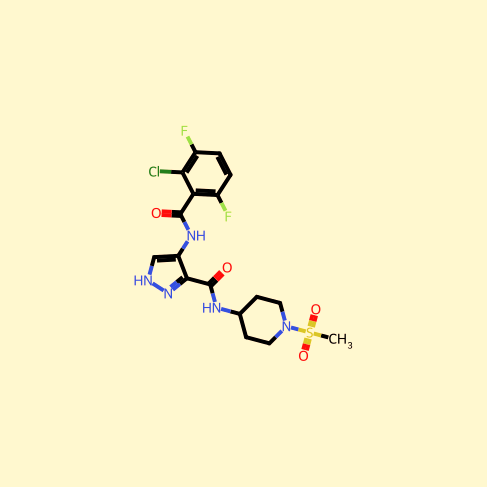 CS(=O)(=O)N1CCC(NC(=O)c2n[nH]cc2NC(=O)c2c(F)ccc(F)c2Cl)CC1